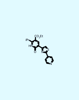 CCOC(=O)c1cc(-c2csc(-c3ccncc3)n2)c(=O)[nH]c1C(C)C